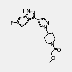 COCC(=O)N1CCC(n2cc(-c3c[nH]c4cc(F)ccc34)cn2)CC1